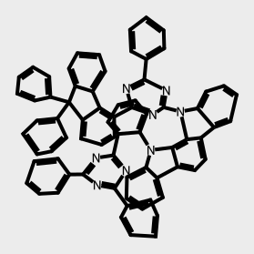 c1ccc(-c2nc(-c3ccccc3)nc(-c3ccccc3-n3c4ccccc4c4ccc5c6ccccc6n(-c6nc(-c7ccccc7)nc(-c7cccc8c7-c7ccccc7C8(c7ccccc7)c7ccccc7)n6)c5c43)n2)cc1